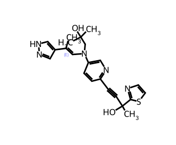 C/C(=C\N(CC(C)(C)O)c1ccc(C#CC(C)(O)c2nccs2)nc1)c1cn[nH]c1